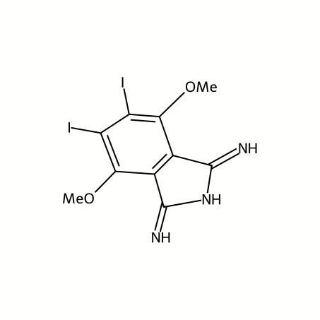 COc1c(I)c(I)c(OC)c2c1C(=N)NC2=N